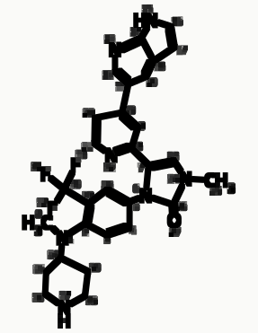 CN(c1ccc(-n2c(-c3cc(-c4cnc5[nH]ccc5c4)ccn3)cn(C)c2=O)cc1C(F)(F)F)C1CCNCC1